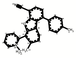 Cc1ccc(-c2ccc(C#N)c3oc4c(-c5cccc[n+]5C)c(C)ccc4c23)cc1